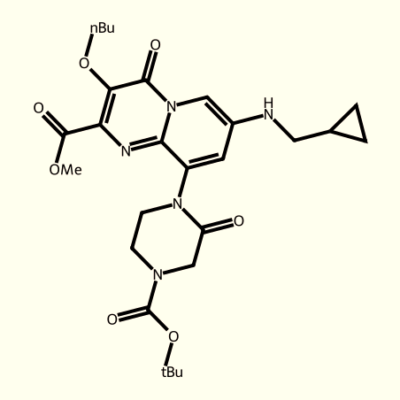 CCCCOc1c(C(=O)OC)nc2c(N3CCN(C(=O)OC(C)(C)C)CC3=O)cc(NCC3CC3)cn2c1=O